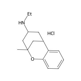 CCNC1CC2CC(C)(C1)Oc1ccccc12.Cl